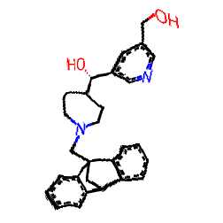 OCc1cncc([C@@H](O)C2CCN(CC34CC(c5ccccc53)c3ccccc34)CC2)c1